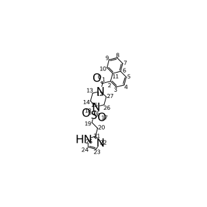 O=C(c1cccc2ccccc12)N1CCN(S(=O)(=O)CCc2ncc[nH]2)CC1